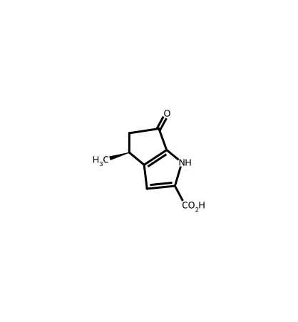 C[C@H]1CC(=O)c2[nH]c(C(=O)O)cc21